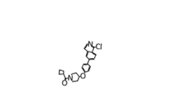 O=C(C1CCC1)N1CCC(Oc2ccc(-c3ccc4c(Cl)nccc4c3)cc2)CC1